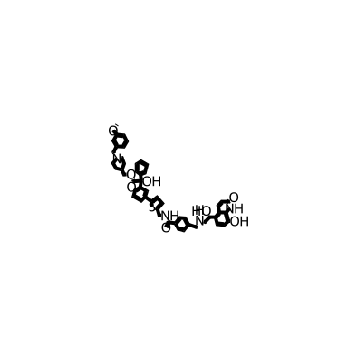 COc1cccc(CN2CCC(COC(=O)C(O)(c3ccccc3)c3cccc(-c4ccc(CNC(=O)c5ccc(CNC[C@H](O)c6ccc(O)c7[nH]c(=O)ccc67)cc5)s4)c3)CC2)c1